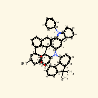 CC(C)(C)c1cc(-c2cccc3cccc(-c4ccccc4N(c4ccc5c(c4)c4ccccc4n5-c4ccccc4)c4cccc5c4-c4ccccc4C5(C)C)c23)cc(C(C)(C)C)c1